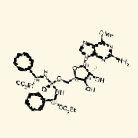 CCOC(=O)[C@@H](NP(=O)(N[C@H](C(=O)OCC)c1ccccc1)OC[C@H]1O[C@@H](n2cnc3c(OC)nc(N)nc32)[C@@](C)(O)C1O)c1ccccc1